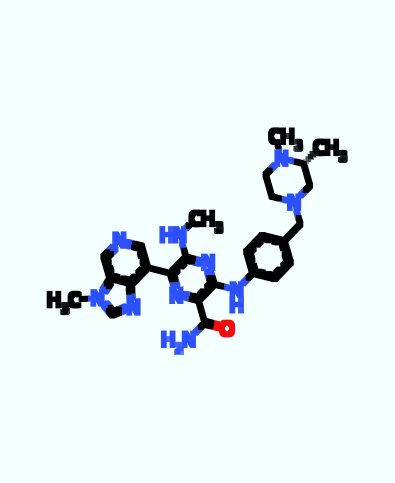 CNc1nc(Nc2ccc(CN3CCN(C)[C@H](C)C3)cc2)c(C(N)=O)nc1-c1cncc2c1ncn2C